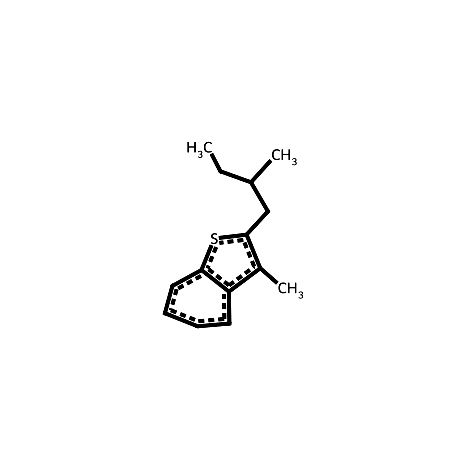 CCC(C)Cc1sc2ccccc2c1C